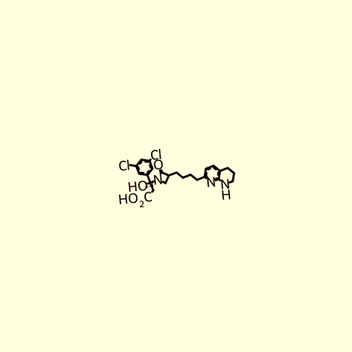 O=C(O)C[C@](O)(c1cc(Cl)cc(Cl)c1)N1CC(CCCCc2ccc3c(n2)NCCC3)C1=O